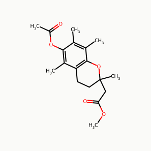 COC(=O)CC1(C)CCc2c(C)c(OC(C)=O)c(C)c(C)c2O1